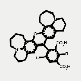 O=C(O)c1cc(Cl)c(C2=c3cc4c5c(c3Oc3c2cc2c6c3CCCCN6CCC2)CCCC[N+]=5CCC4)c(C(=O)O)c1Cl